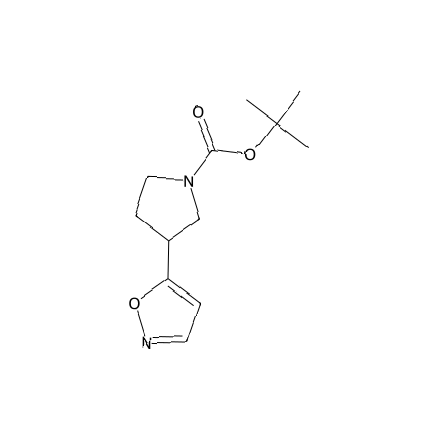 CC(C)(C)OC(=O)N1CCC(c2ccno2)C1